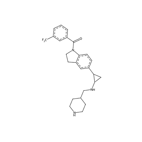 O=C(c1cccc(C(F)(F)F)c1)N1CCc2cc(C3CC3NCC3CCNCC3)ccc21